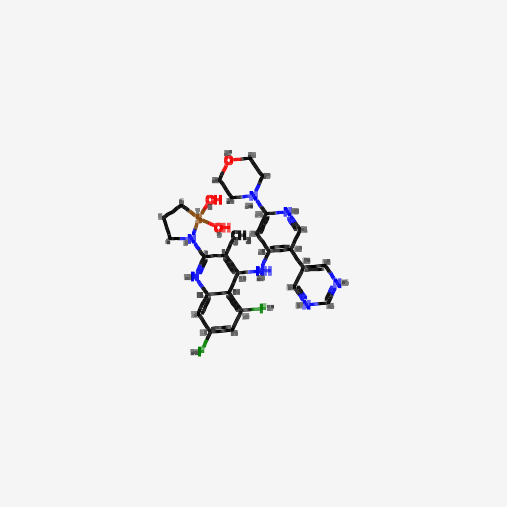 Cc1c(N2CCCS2(O)O)nc2cc(F)cc(F)c2c1Nc1cc(N2CCOCC2)ncc1-c1cncnc1